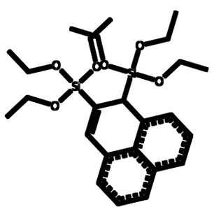 CCO[Si](OCC)(OCC)C1=Cc2cccc3cccc(c23)C1[Si](OCC)(OCC)OCC